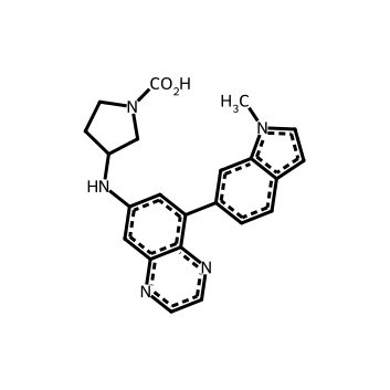 Cn1ccc2ccc(-c3cc(NC4CCN(C(=O)O)C4)cc4nccnc34)cc21